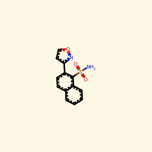 NS(=O)(=O)c1c(-c2ccon2)ccc2ccccc12